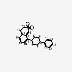 O=S1(=O)C=C2C(C3CCC(c4ccccc4)CC3)=CC=CC2CC1